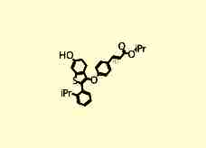 CC(C)OC(=O)/C=C/c1ccc(Oc2c(-c3ccccc3C(C)C)sc3c2CCC(O)=C3)cc1